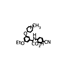 CCOc1cc(OC2CCN(C)CC2)cc(C(Nc2ccc(C#N)cc2)C(=O)O)c1